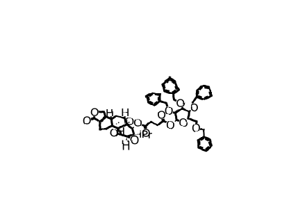 CC(C)[C@]12O[C@H]1[C@@H]1O[C@]13[C@]1(O[C@H]1C[C@H]1C4=C(CC[C@@]13C)C(=O)OC4)[C@@H]2OC(=O)CCC(=O)O[C@H]1OC(COCc2ccccc2)[C@H](OCc2ccccc2)C(OCc2ccccc2)C1OCc1ccccc1